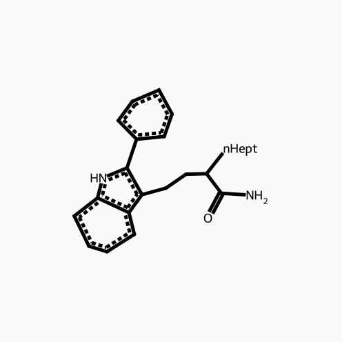 CCCCCCCC(CCc1c(-c2ccccc2)[nH]c2ccccc12)C(N)=O